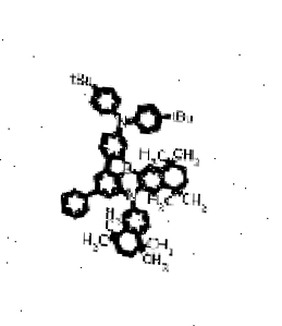 CC(C)(C)c1ccc(N(c2ccc(C(C)(C)C)cc2)c2ccc3c(c2)B2c4cc5c(cc4N(c4ccc6c(c4)C(C)(C)CCC6(C)C)c4cc(-c6ccccc6)cc-3c42)C(C)(C)CCC5(C)C)cc1